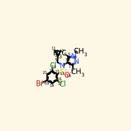 Cc1nn(C)c(C)c1N(CC1CC1)[S@+]([O-])c1c(Cl)cc(Br)cc1Cl